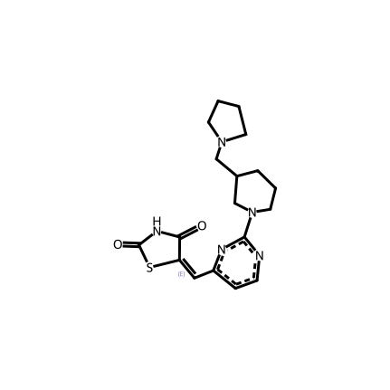 O=C1NC(=O)/C(=C\c2ccnc(N3CCCC(CN4CCCC4)C3)n2)S1